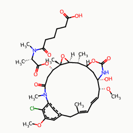 COc1cc2cc(c1Cl)N(C)C(=O)C[C@H](OC(=O)[C@H](C)N(C)C(=O)CCCCC(=O)O)[C@]1(C)O[C@H]1[C@H](C)[C@@H]1C[C@@](O)(NC(=O)O1)[C@H](OC)/C=C/C=C(\C)C2